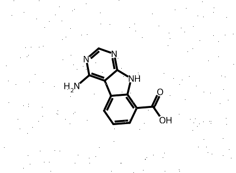 Nc1ncnc2[nH]c3c(C(=O)O)cccc3c12